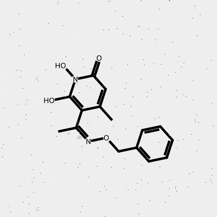 C/C(=N/OCc1ccccc1)c1c(C)cc(=O)n(O)c1O